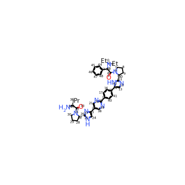 CCN(CC)[C@@H](C(=O)N1CCC[C@H]1c1ncc(-c2ccc(-c3ncc(-c4c[nH]c([C@@H]5CCCN5C(=O)[C@@H](N)C(C)C)n4)cn3)cc2)[nH]1)c1ccccc1